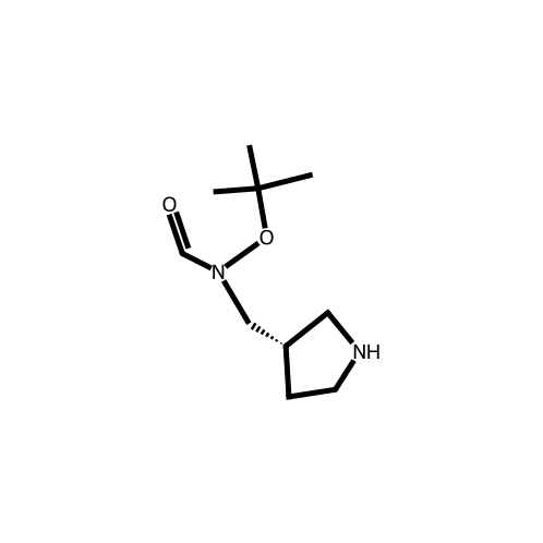 CC(C)(C)ON(C=O)C[C@H]1CCNC1